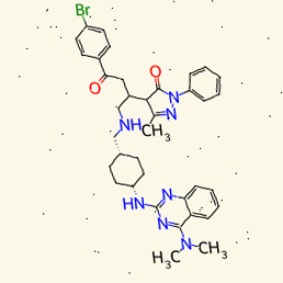 CC1=NN(c2ccccc2)C(=O)C1C(CNC[C@H]1CC[C@@H](Nc2nc(N(C)C)c3ccccc3n2)CC1)CC(=O)c1ccc(Br)cc1